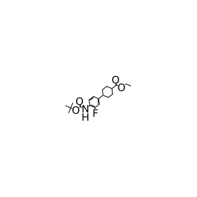 CCOC(=O)C1CCC(c2ccc(NC(=O)OC(C)(C)C)c(F)c2)CC1